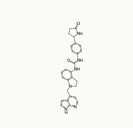 O=C1CCC(c2ccc(NC(=O)Nc3cccc4c3CCN4Cc3ccnc4[nH]ccc34)cc2)N1